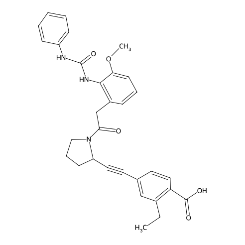 CCc1cc(C#CC2CCCN2C(=O)Cc2cccc(OC)c2NC(=O)Nc2ccccc2)ccc1C(=O)O